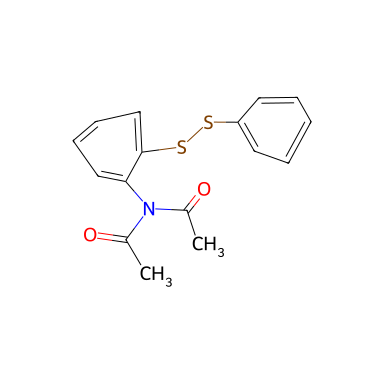 CC(=O)N(C(C)=O)c1ccccc1SSc1ccccc1